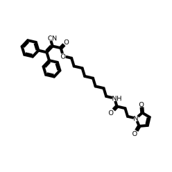 N#CC(C(=O)OCCCCCCCCNC(=O)CCN1C(=O)C=CC1=O)=C(c1ccccc1)c1ccccc1